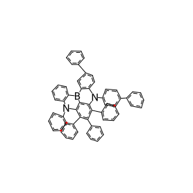 c1ccc(-c2ccc(N3c4ccc(-c5ccccc5)cc4B4c5ccccc5N(c5ccccc5)c5c4c3c(-c3ccccc3)c(-c3ccccc3)c5-c3ccccc3)cc2)cc1